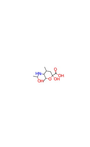 CC(O)NC1C(C)CC(O)(C(=O)O)OC1C